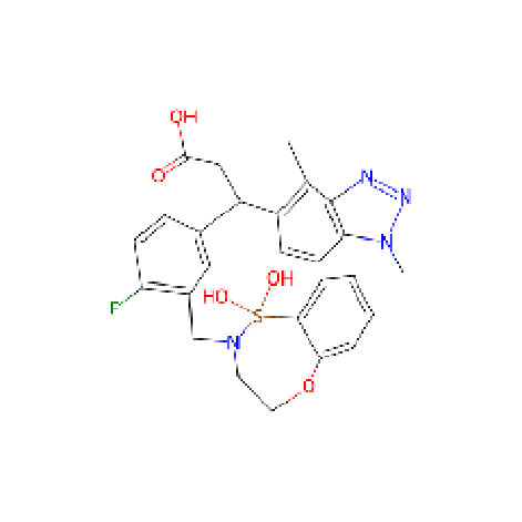 Cc1c(C(CC(=O)O)c2ccc(F)c(CN3CCOc4ccccc4S3(O)O)c2)ccc2c1nnn2C